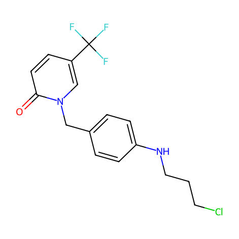 O=c1ccc(C(F)(F)F)cn1Cc1ccc(NCCCCl)cc1